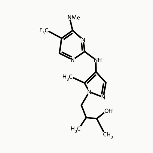 CNc1nc(Nc2cnn(CC(C)C(C)O)c2C)ncc1C(F)(F)F